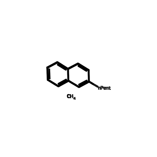 C.CCCCCc1ccc2ccccc2c1